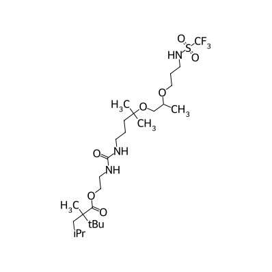 CC(C)CC(C)(C(=O)OCCNC(=O)NCCCC(C)(C)OCC(C)OCCCNS(=O)(=O)C(F)(F)F)C(C)(C)C